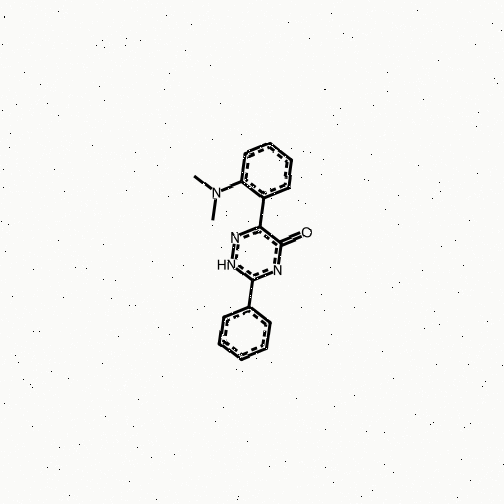 CN(C)c1ccccc1-c1n[nH]c(-c2ccccc2)nc1=O